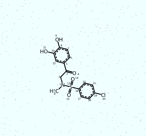 CN(CC(=O)c1ccc(O)c(O)c1)S(=O)(=O)c1ccc(Cl)cc1